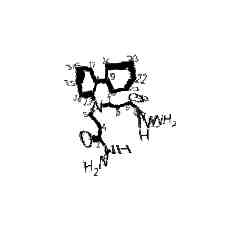 NNC(=O)CCN(CCC(=O)NN)c1ccccc1-c1ccccc1